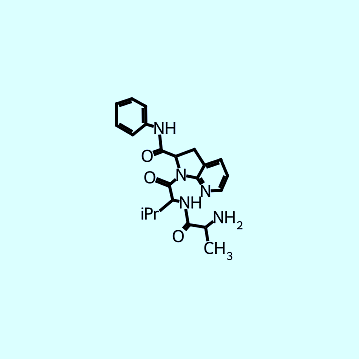 CC(N)C(=O)NC(C(=O)N1c2ncccc2CC1C(=O)Nc1ccccc1)C(C)C